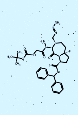 CC(C)(C)OC(=O)NCC(=O)N(N)[C@@H]1C(=O)N2[C@@H](CC[C@@H]1CN=NN)CC[C@H]2C(=O)NC(c1ccccc1)c1ccccc1